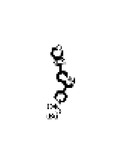 CC(C)(C)OC(=O)N1CC=C(c2cnn3cc(-c4nc5c(s4)COCC5)ccc23)CC1